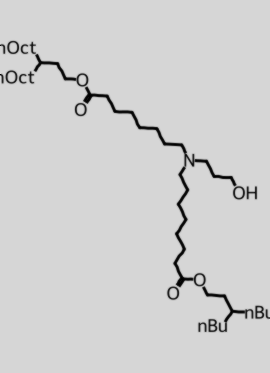 CCCCCCCCC(CCCCCCCC)CCOC(=O)CCCCCCCN(CCCO)CCCCCCCC(=O)OCCC(CCCC)CCCC